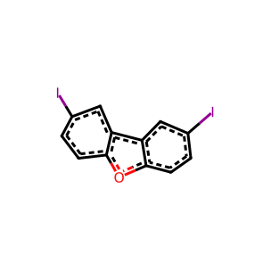 Ic1ccc2oc3ccc(I)cc3c2c1